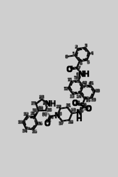 Cc1ccccc1C(=O)Nc1cccc2c(S(=O)(=O)NC3CCN(C(=O)[C@H]4NCC[C@@H]4c4ccccc4)CC3)cccc12